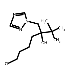 CC(C)(C)C(O)(CCCCCl)Cn1cncn1